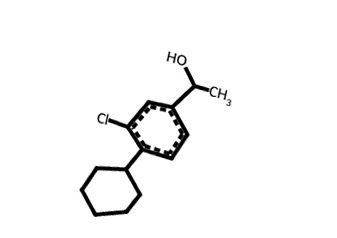 CC(O)c1ccc(C2CCCCC2)c(Cl)c1